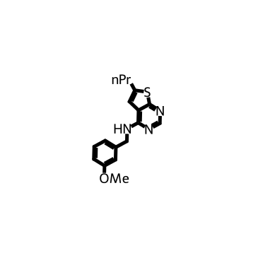 CCCc1cc2c(NCc3cccc(OC)c3)ncnc2s1